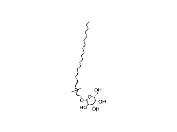 CCCCCCCCCCCCCCCCCC[Si](C)(C)CCO[C@@H]1O[C@H](CO)[C@H](O)[C@H](O)[C@H]1O